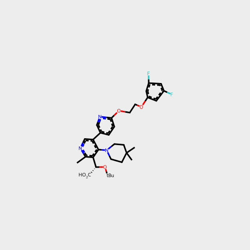 Cc1ncc(-c2ccc(OCCOc3cc(F)cc(F)c3)nc2)c(N2CCC(C)(C)CC2)c1[C@H](OC(C)(C)C)C(=O)O